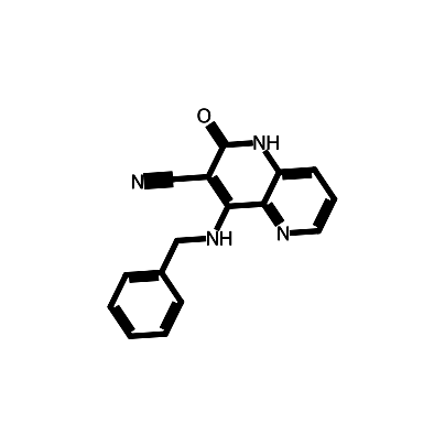 N#Cc1c(NCc2ccccc2)c2ncccc2[nH]c1=O